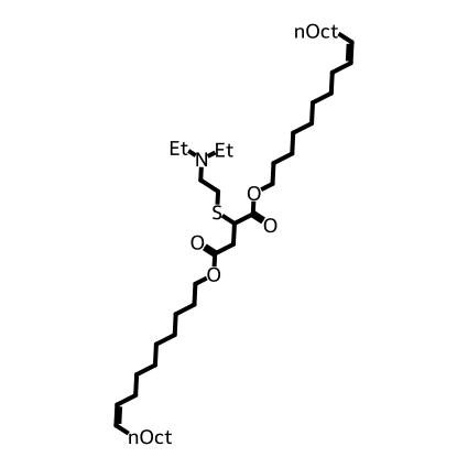 CCCCCCCC/C=C\CCCCCCCCOC(=O)CC(SCCN(CC)CC)C(=O)OCCCCCCCC/C=C\CCCCCCCC